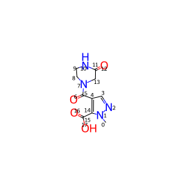 Cn1ncc(C(=O)N2CCNC(=O)C2)c1C(=O)O